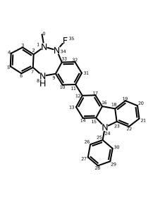 Cn1c2ccccc2[nH]c2cc(-c3ccc4c(c3)c3ccccc3n4-c3ccccc3)ccc2n1F